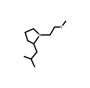 CSCCN1CCCC1CC(C)C